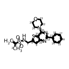 C=C(C)S(=O)(=O)NCc1cc2nc(-c3c[c]ccc3)nc(N3CCOCC3)c2s1